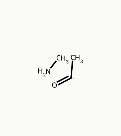 CN.C[C]=O